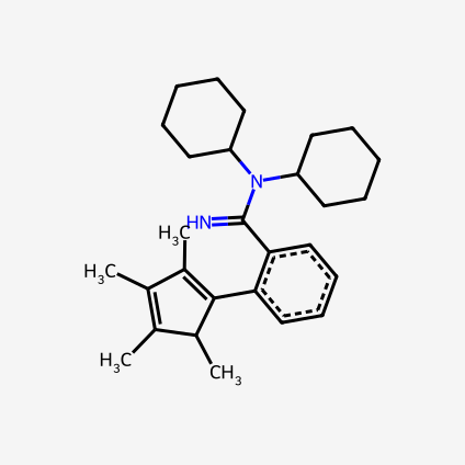 CC1=C(C)C(C)C(c2ccccc2C(=N)N(C2CCCCC2)C2CCCCC2)=C1C